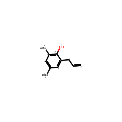 C=CCc1cc(CCCC)cc(CCCC)c1O